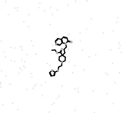 CCOC(=O)C1(CCCn2c(=O)ccc3ccncc32)CCN(CCSc2cccs2)CC1